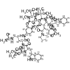 CC[C@H](C)[C@@H]([C@@H](CC(=O)N1CCC[C@H]1[C@@H](CC(=O)N[C@H](C)Cc1ccccc1)OC)OC)N(C)C(=O)[C@@H](NC(=O)[C@H](C(C)C)N(C)C(=O)OCc1ccc(NC(=O)[C@H](CCCNC(N)=O)NC(=O)C(Cc2c[nH]c3ccccc23)NC(=O)OC(C)(C)C)cc1)C(C)C